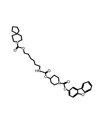 O=C(NCCCCCCOC(=O)N1CCC2(CCCC2)CC1)OC1CCN(C(=O)Oc2ccc3oc4ccccc4c3c2)CC1